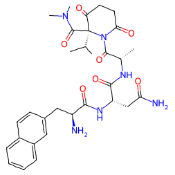 CC(C)[C@]1(C(=O)N(C)C)C(=O)CCC(=O)N1C(=O)[C@H](C)NC(=O)[C@H](CC(N)=O)NC(=O)[C@@H](N)Cc1ccc2ccccc2c1